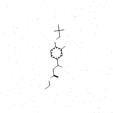 CCOC(=O)CC(O)c1ccc(OCC(C)(F)F)c(F)c1